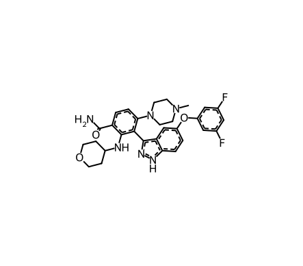 CN1CCN(c2ccc(C(N)=O)c(NC3CCOCC3)c2-c2n[nH]c3ccc(Oc4cc(F)cc(F)c4)cc23)CC1